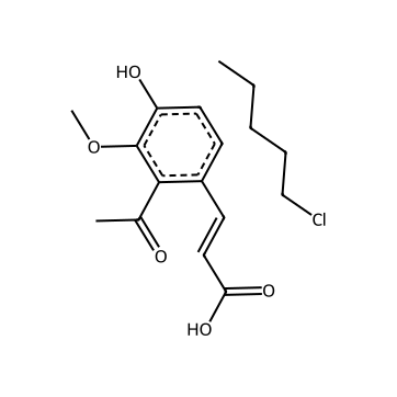 CCCCCCl.COc1c(O)ccc(C=CC(=O)O)c1C(C)=O